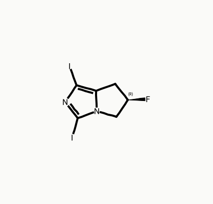 F[C@@H]1Cc2c(I)nc(I)n2C1